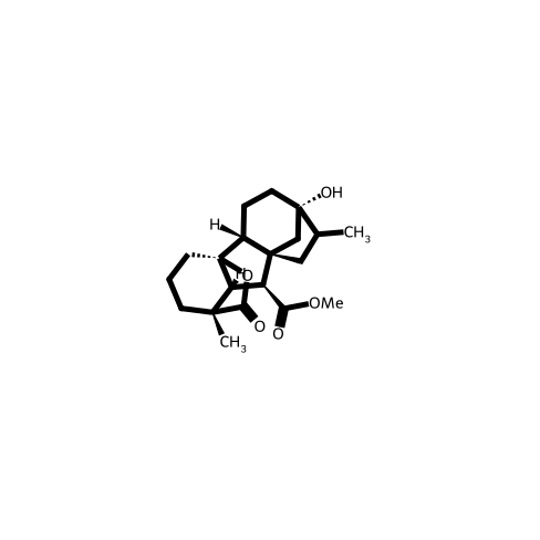 COC(=O)[C@H]1[C@H]2[C@@]3(CCC[C@@]2(C)C(=O)O3)[C@@H]2CC[C@]3(O)C[C@@]21CC3C